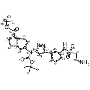 CC(C)(C)OC(=O)N(c1ccc2c(cnn2C(=O)OC(C)(C)C)c1)c1nnc(-c2cccc(NS(=O)(=O)CCN)c2)s1